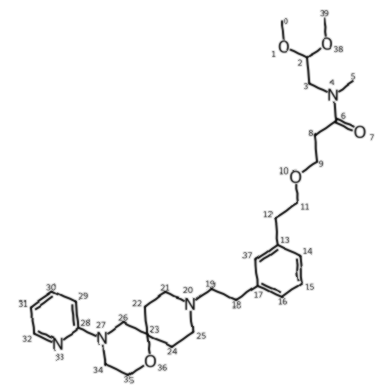 COC(CN(C)C(=O)CCOCCc1cccc(CCN2CCC3(CC2)CN(c2ccccn2)CCO3)c1)OC